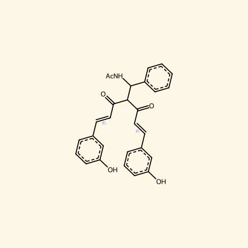 CC(=O)NC(c1ccccc1)C(C(=O)/C=C/c1cccc(O)c1)C(=O)/C=C/c1cccc(O)c1